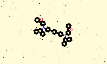 C1=Cc2oc3ccc(N(c4ccc(-c5ccc(-c6ccc(N(c7ccc8oc9ccccc9c8c7)c7cc8ccccc8c8ccccc78)cc6)cc5)cc4)c4cc5ccccc5c5ccccc45)cc3c2CC1